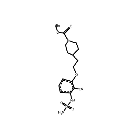 CC(C)(C)OC(=O)N1CCC(CCOc2cccc(NS(N)(=O)=O)c2C#N)CC1